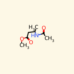 COC(=O)CC(C)NC(C)=O